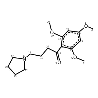 COc1cc(OC)c(C(=O)CCC[N+]2CCCC2)c(OC)c1